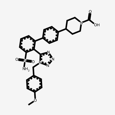 COc1ccc(Cn2nnnc2-c2c(-c3ccc(C4CCN(C(=O)O)CC4)cc3)cccc2S(N)(=O)=O)cc1